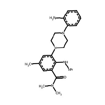 CCCNc1c(C(=O)N(C)C)cc(C)cc1N1CCN(c2ccccc2N)CC1